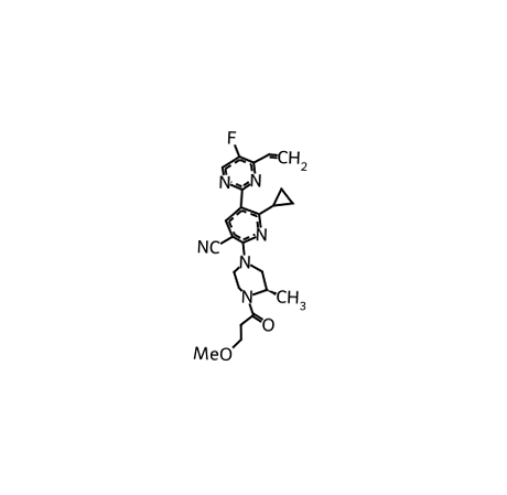 C=Cc1nc(-c2cc(C#N)c(N3CCN(C(=O)CCOC)[C@H](C)C3)nc2C2CC2)ncc1F